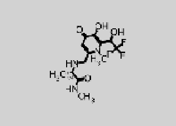 CNC(=O)[C@H](C)NCc1cc(=O)c(O)c(C(O)C(F)(F)F)n1C